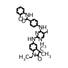 CCN1C(=O)C(C)(C)c2cc(Nc3ncc(I)c(Nc4ccc(C(=O)Nc5ccccc5Cl)cc4)n3)ccc21